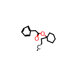 CCCCC1(OC(=O)Cc2ccccc2)CCCCC1